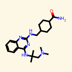 CN(C)CC(C)(C)Nc1nc(NCC2CCC(C(N)=O)CC2)nc2ccccc12